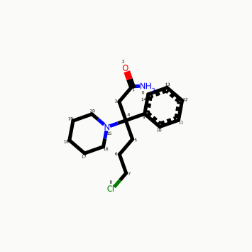 NC(=O)CC(CC[CH]Cl)(c1ccccc1)N1CCCCC1